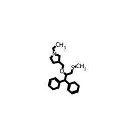 CCN1CCC(COC(CSC)C(C2=CC=CCC2)C2=CC=CCC2)C1